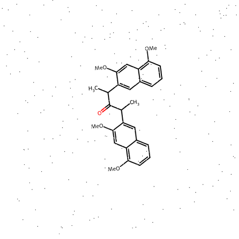 COc1cc2c(OC)cccc2cc1C(C)C(=O)C(C)c1cc2cccc(OC)c2cc1OC